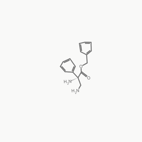 NC[C@](N)(C(=O)OCc1ccccc1)c1ccccc1